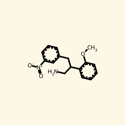 COc1ccccc1C(CN)Cc1cccc([N+](=O)[O-])c1